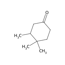 CC1CC(=O)CCC1(C)C